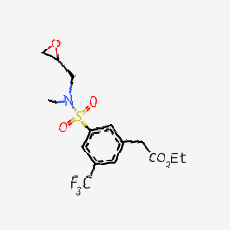 CCOC(=O)Cc1cc(C(F)(F)F)cc(S(=O)(=O)N(C)C[C@H]2CO2)c1